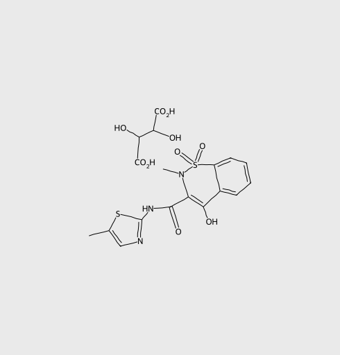 Cc1cnc(NC(=O)C2=C(O)c3ccccc3S(=O)(=O)N2C)s1.O=C(O)C(O)C(O)C(=O)O